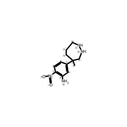 CC1(c2ccc([N+](=O)[O-])c(N)c2)CCCNNC1